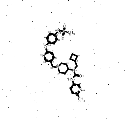 Cc1ccc(NC(=O)N(CC2CCC2)C2CCN(Cc3ccc(Oc4ccc(NS(C)(=O)=O)cc4)nc3)CC2)cn1